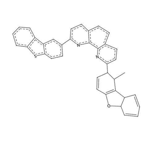 CC1C2=C(C=CC1c1ccc3ccc4ccc(-c5ccc6sc7ccccc7c6c5)nc4c3n1)OC1C=CC=CC21